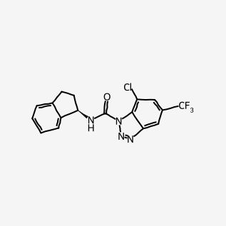 O=C(N[C@@H]1CCc2ccccc21)n1nnc2cc(C(F)(F)F)cc(Cl)c21